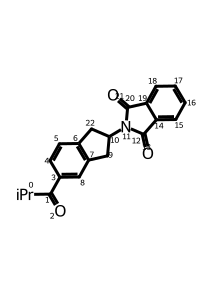 CC(C)C(=O)c1ccc2c(c1)CC(N1C(=O)c3ccccc3C1=O)C2